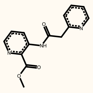 COC(=O)c1ncccc1NC(=O)Cc1ccccn1